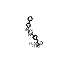 CN(c1ccc(-c2ccccc2)cc1)c1cnc(-c2ccc(CC(N)C(=O)O)cc2)cn1